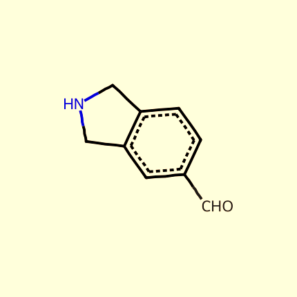 O=Cc1ccc2c(c1)CNC2